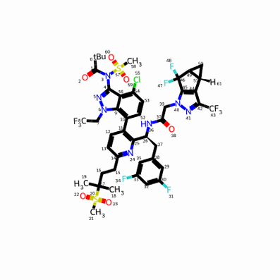 CC(C)(C)C(=O)N(c1nn(CC(F)(F)F)c2c(-c3ccc(CCC(C)(C)S(C)(=O)=O)nc3[C@H](Cc3cc(F)cc(F)c3)NC(=O)Cn3nc(C(F)(F)F)c4c3C(F)(F)C3C[C@H]43)ccc(Cl)c12)S(C)(=O)=O